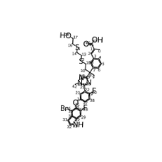 C/C(=C\c1cccc(C(C)(CCSCCSCCO)c2nc(-c3cc(Oc4c(F)cc5[nH]ccc5c4Br)ccc3F)n(C)n2)c1)C(=O)O